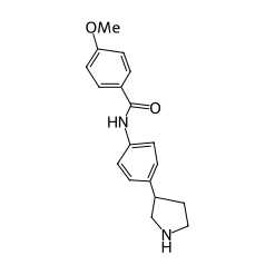 COc1ccc(C(=O)Nc2ccc(C3CCNC3)cc2)cc1